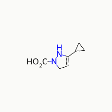 O=C(O)N1CC=C(C2CC2)N1